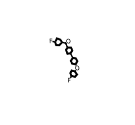 O=C(c1ccc(F)cc1)c1ccc(-c2ccc(Oc3ccc(F)cc3)cc2)cc1